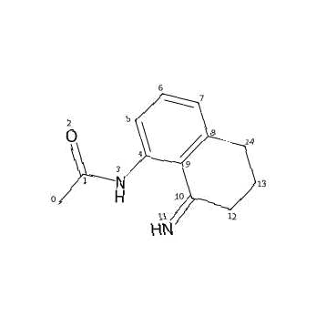 CC(=O)Nc1cccc2c1C(=N)CCC2